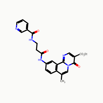 CCOC(=O)c1cnc2c3cc(NC(=O)CCNC(=O)c4cccnc4)ccc3c(C)cn2c1=O